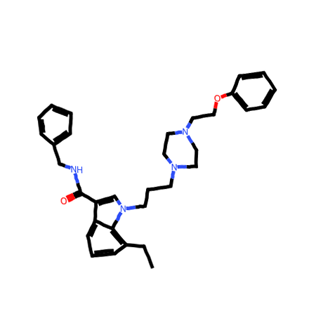 CCc1cccc2c(C(=O)NCc3ccccc3)cn(CCCN3CCN(CCOc4ccccc4)CC3)c12